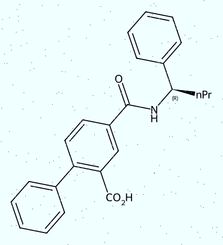 CCC[C@@H](NC(=O)c1ccc(-c2ccccc2)c(C(=O)O)c1)c1ccccc1